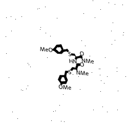 CNC(=O)[C@H](CSCc1ccc(OC)cc1)NC(=O)[C@H](CSCc1ccc(OC)cc1)NC